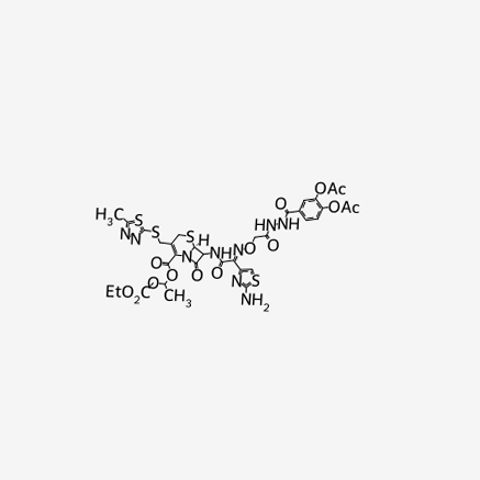 CCOC(=O)OC(C)OC(=O)C1=C(CSc2nnc(C)s2)CS[C@H]2C(NC(=O)C(=NOCC(=O)NNC(=O)c3ccc(OC(C)=O)c(OC(C)=O)c3)c3csc(N)n3)C(=O)N12